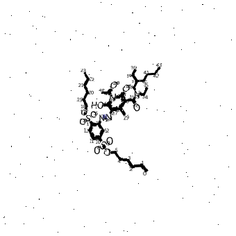 CCCCCCOS(=O)(=O)c1ccc(S(=O)(=O)OCCCCCC)c(/N=N/c2c(C)c(C(=O)N(CC)CC(CC)CCCC)c(=O)n(C(C)=O)c2O)c1